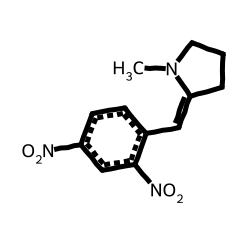 CN1CCCC1=Cc1ccc([N+](=O)[O-])cc1[N+](=O)[O-]